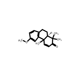 COc1ccc2c(c1)C1(C)C=CC(=O)C(C)(C)[C@@H]1CC2